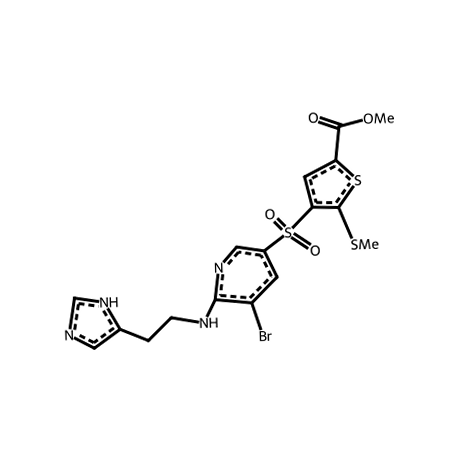 COC(=O)c1cc(S(=O)(=O)c2cnc(NCCc3cnc[nH]3)c(Br)c2)c(SC)s1